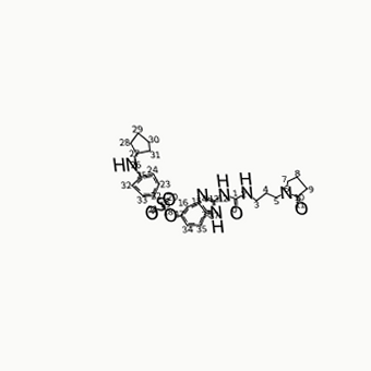 O=C(NCCCN1CCCC1=O)Nc1nc2cc(OS(=O)(=O)c3ccc(NC4CCCC4)cc3)ccc2[nH]1